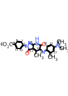 CC1=C2C(=O)N(c3ccc(C(=O)O)cc3)N=C2NC(=O)/C1=N\c1ccc(N(C)C)cc1C